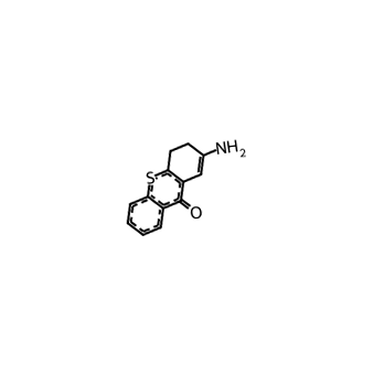 NC1=Cc2c(sc3ccccc3c2=O)CC1